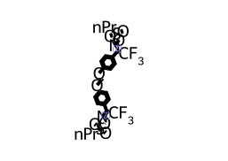 CCCS(=O)(=O)O/N=C(/c1ccc(OCOc2ccc(/C(=N/OS(=O)(=O)CCC)C(F)(F)F)cc2)cc1)C(F)(F)F